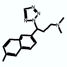 Cc1ccc2cc(C(CCN(C)C)n3ncnn3)ccc2c1